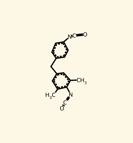 Cc1cc(Cc2ccc(N=C=O)cc2)cc(C)c1N=C=O